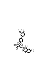 COc1ccc2nnn(CCC(C(=O)O)S(=O)(=O)c3ccc(-c4ccc(Cl)c(C(F)(F)F)c4)cc3)c(=O)c2c1